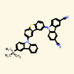 C[Si](C)(C)c1ccc2c(c1)c1ccccc1n2-c1ccc2sc3ccc(-n4c5ccc(C#N)cc5c5cc(C#N)ccc54)cc3c2c1